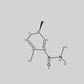 CC1=CC[C@@H](C)C=C1C(=O)N(C)C